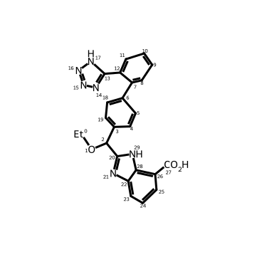 CCOC(c1ccc(-c2ccccc2-c2nnn[nH]2)cc1)c1nc2cccc(C(=O)O)c2[nH]1